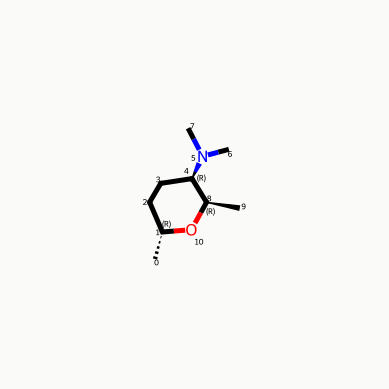 C[C@@H]1CC[C@@H](N(C)C)[C@@H](C)O1